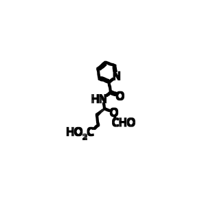 O=CO[C@@H](CCC(=O)O)NC(=O)c1ccccn1